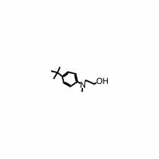 CN(CCO)c1ccc(C(C)(C)C)cc1